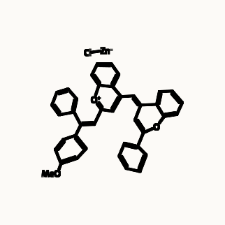 COc1ccc(C(=Cc2cc(C=C3C=C(c4ccccc4)Oc4ccccc43)c3ccccc3[o+]2)c2ccccc2)cc1.[Cl][Zn-]